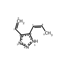 C=Cc1nn[nH]c1/C=C\C